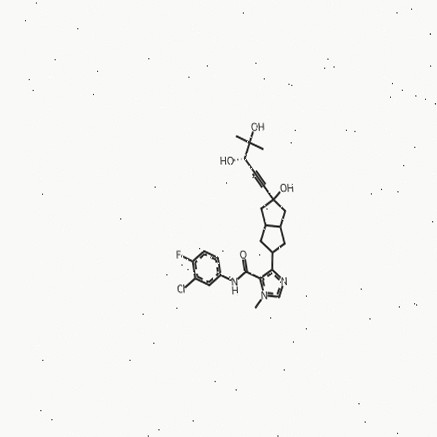 Cn1cnc(C2CC3CC(O)(C#C[C@H](O)C(C)(C)O)CC3C2)c1C(=O)Nc1ccc(F)c(Cl)c1